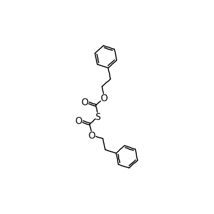 O=C(OCCc1ccccc1)SC(=O)OCCc1ccccc1